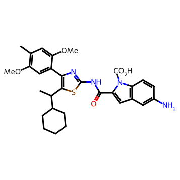 COc1cc(-c2nc(NC(=O)c3cc4cc(N)ccc4n3C(=O)O)sc2C(C)C2CCCCC2)c(OC)cc1C